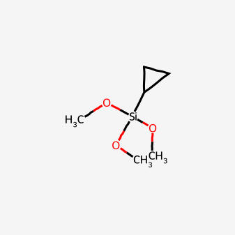 CO[Si](OC)(OC)C1CC1